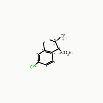 CCOC(=O)C(c1ccc(Cl)cc1C)[C@@H](C)C(F)(F)F